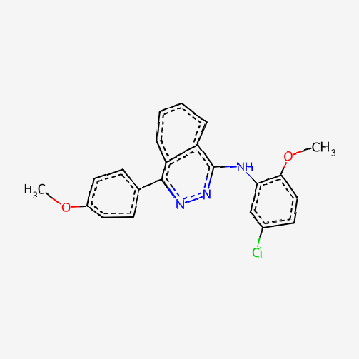 COc1ccc(-c2nnc(Nc3cc(Cl)ccc3OC)c3ccccc23)cc1